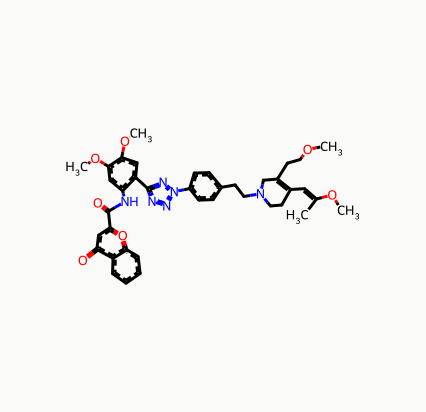 COCCC1=C(/C=C(\C)OC)CCN(CCc2ccc(-n3nnc(-c4cc(OC)c(OC)cc4NC(=O)c4cc(=O)c5ccccc5o4)n3)cc2)C1